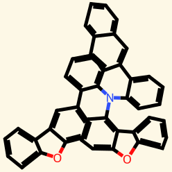 c1ccc(N(c2ccccc2-c2ccc3oc4ccccc4c3c2)c2cccc3oc4ccccc4c23)c(-c2ccc3ccccc3c2)c1